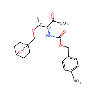 COC(=O)[C@@H](NC(=O)OCc1ccc([N+](=O)[O-])cc1)[C@@H](C)OCC12CCC(CC1)OC2